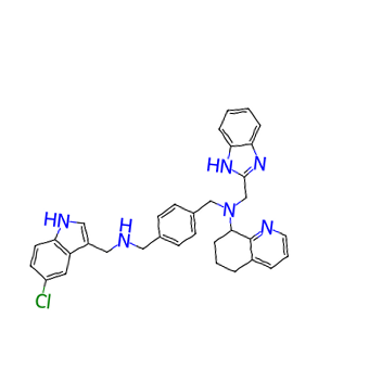 Clc1ccc2[nH]cc(CNCc3ccc(CN(Cc4nc5ccccc5[nH]4)C4CCCc5cccnc54)cc3)c2c1